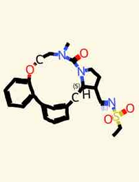 CCS(=O)(=O)/N=C/C1CCN2C(=O)N(C)CCOc3ccccc3-c3cccc(c3)C[C@@H]12